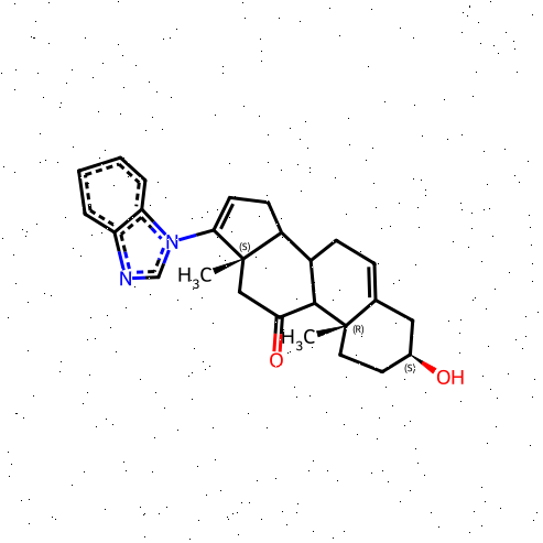 C[C@]12CC[C@H](O)CC1=CCC1C2C(=O)C[C@]2(C)C(n3cnc4ccccc43)=CCC12